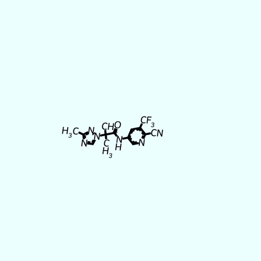 Cc1ncn(C(C)(C)C(=O)Nc2cnc(C#N)c(C(F)(F)F)c2)n1